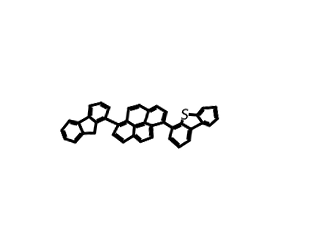 c1ccc2c(c1)Cc1c-2cccc1-c1ccc2ccc3c(-c4cccc5c4sc4ccccc45)ccc4ccc1c2c43